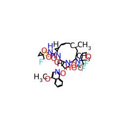 COc1cnc(O[C@@H]2C[C@H]3C(=O)N[C@]4(C(=O)NS(=O)(=O)C5(CF)CC5)C[C@H]4C=CCC[C@@H](C)C[C@@H](C)[C@H](N(C(=O)O)C4(C(F)(F)F)CCCOC4)C(=O)N3C2)c2ccccc12